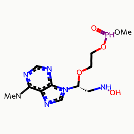 CNc1ncnc2c1ncn2[C@@H](CNO)OCCO[PH](=O)OC